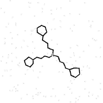 C1CCC(CCCCN(CCCCC2CCCCC2)CCCCC2CCCCC2)CC1